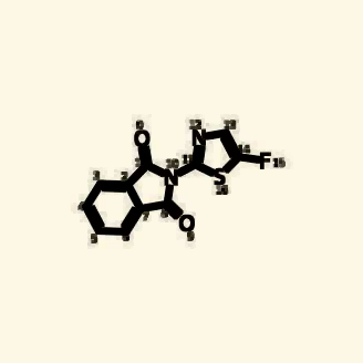 O=C1c2ccccc2C(=O)N1c1ncc(F)s1